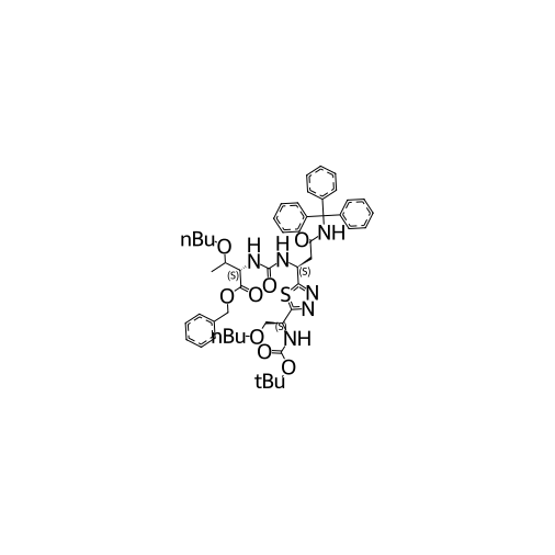 CCCCOC[C@H](NC(=O)OC(C)(C)C)c1nnc([C@H](CC(=O)NC(c2ccccc2)(c2ccccc2)c2ccccc2)NC(=O)N[C@H](C(=O)OCc2ccccc2)C(C)OCCCC)s1